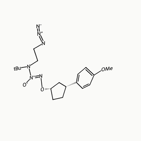 COc1ccc([C@@H]2CC[C@H](O/N=[N+](\[O-])N(CCN=[N+]=[N-])C(C)(C)C)C2)cc1